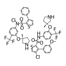 COc1cccc(-c2c(Cl)csc2S(=O)(=O)Nc2ccc(C(F)(F)F)c(O[C@]3(C)CCNC3)c2)c1.C[C@@]1(Oc2cc(N(Cl)S(=O)(=O)c3sccc3-c3ccccc3)ccc2C(F)(F)F)CCNC1